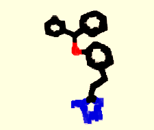 C(=C\c1nnn[nH]1)/c1cccc(OC(c2ccccc2)c2ccccc2)c1